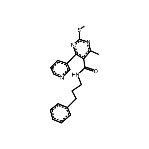 CSc1nc(C)c(C(=O)NCCCc2ccccc2)c(-c2cccnc2)n1